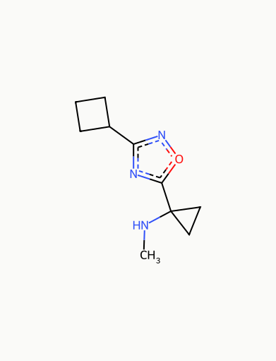 CNC1(c2nc(C3CCC3)no2)CC1